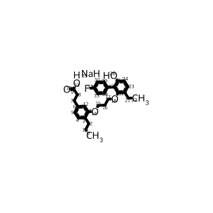 CCCc1ccc(CCC(=O)O)cc1OCCCOc1c(CC)ccc(O)c1-c1ccc(F)cc1.[NaH]